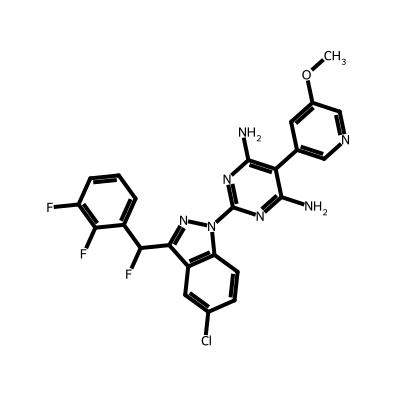 COc1cncc(-c2c(N)nc(-n3nc(C(F)c4cccc(F)c4F)c4cc(Cl)ccc43)nc2N)c1